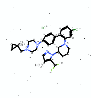 Cl.O=C(O)c1cnn(C2CCCN(c3cc(Cl)ccc3-c3ccc(N4CCN(CC5(C(F)(F)F)CC5)CC4)cc3)C2)c1C(F)F